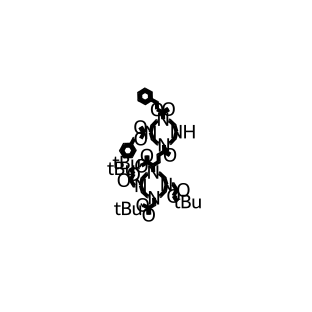 CC(C)(C)OC(=O)CN1CCN(CC(=O)OC(C)(C)C)CCN(C(CCC(=O)N2CCNCCN(C(=O)OCc3ccccc3)CCN(C(=O)OCc3ccccc3)CC2)C(=O)OC(C)(C)C)CCN(CC(=O)OC(C)(C)C)CC1